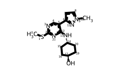 CSc1ncc(-c2ccn(C)n2)c(N[C@H]2CC[C@H](O)CC2)n1